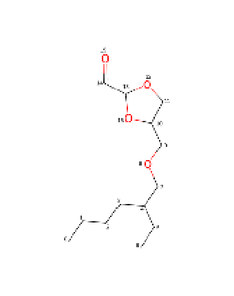 CCCCC(CC)COCC1COC(C=O)O1